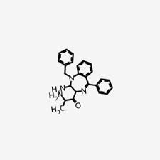 CC(N)C(=O)C1N=C(c2ccccc2)c2ccccc2N(Cc2ccccc2)C1N